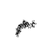 Cc1ccc2c(NCC(C#N)C(C)C)cccc2c1Oc1ncccc1-c1ccnc(N[C@H]2CCCN(C(=O)OC(C)(C)C)C2)n1